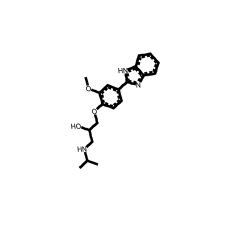 COc1cc(-c2nc3ccccc3[nH]2)ccc1OCC(O)CNC(C)C